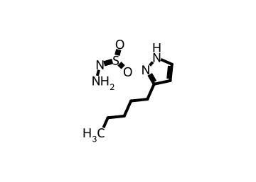 CCCCCc1cc[nH]n1.NN=S(=O)=O